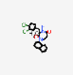 C[C@@]1(Cc2ccc(Cl)c(Cl)c2)NC(=O)CCN(c2cccc3ccccc23)C1=O